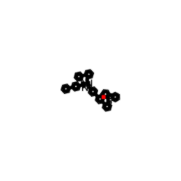 c1ccc(-c2ccc(-c3nc(-c4ccc(-c5ccc(-c6ccccc6-n6c7ccccc7c7ccccc76)cc5)cc4)nc(-c4ccccc4-c4ccccc4)n3)cc2)cc1